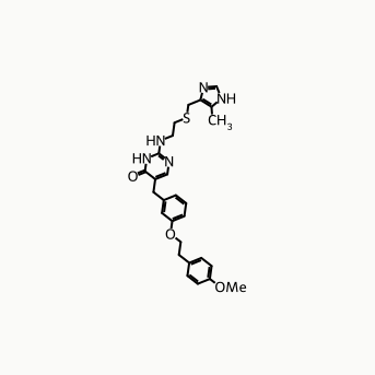 COc1ccc(CCOc2cccc(Cc3cnc(NCCSCc4nc[nH]c4C)[nH]c3=O)c2)cc1